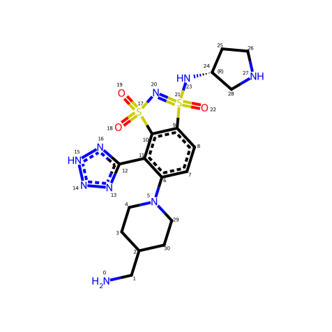 NCC1CCN(c2ccc3c(c2-c2nn[nH]n2)S(=O)(=O)N=S3(=O)N[C@@H]2CCNC2)CC1